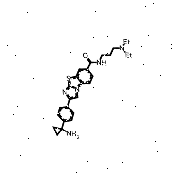 CCN(CC)CCCNC(=O)c1ccc2c(c1)sc1nc(-c3ccc(C4(N)CC4)cc3)cn12